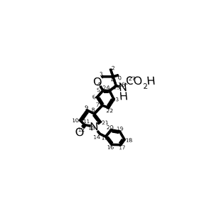 CC1(C)COc2cc(-c3ccc(=O)n(Cc4ccccc4)c3)ccc2C1NC(=O)O